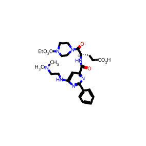 CCOC(=O)N1CCN(C(=O)[C@H](CCC(=O)O)NC(=O)c2cc(NCCN(C)C)nc(-c3ccccc3)n2)CC1